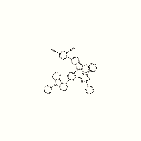 N#Cc1ccc(-c2ccc3c4ccccc4n(-c4ccc(-c5cccc6c5c5ccccc5n6-c5ccccc5)cc4-c4nc(-c5ccccc5)nc(-c5ccccc5)n4)c3c2)c(C#N)c1